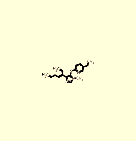 C=CC/C=C(\C=C)c1ncn(C)c1Sc1ccc(CC)cn1